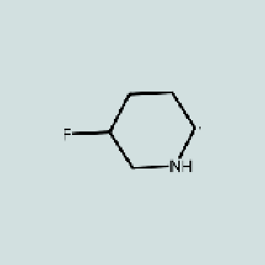 FC1CC[CH]NC1